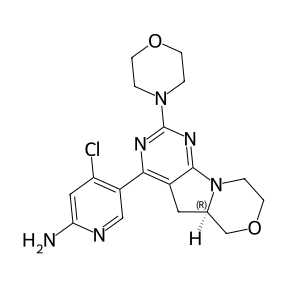 Nc1cc(Cl)c(-c2nc(N3CCOCC3)nc3c2C[C@@H]2COCCN32)cn1